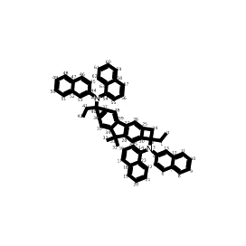 CCC1(N(c2ccc3ccccc3c2)c2cccc3ccccc23)Cc2cc3c(cc21)C(C)(C)c1cc2c(cc1-3)C2(CC)N(c1ccc2ccccc2c1)c1cccc2ccccc12